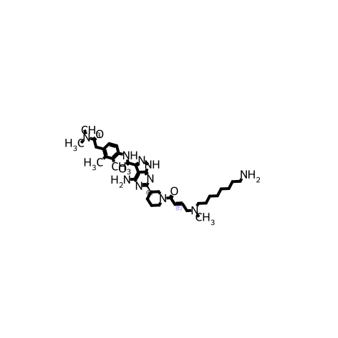 Cc1c(CC(=O)N(C)C)ccc(NC(=O)c2n[nH]c3nc([C@@H]4CCCN(C(=O)/C=C/CN(C)CCCCCCCCN)C4)nc(N)c23)c1C